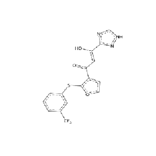 O=C(C=C(O)c1nc[nH]n1)c1ccoc1Sc1cccc(C(F)(F)F)c1